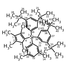 CC1=C(C)C(C)C([Si](c2cc(C)cc(C)c2)(c2cc([Si](C)(C)C)cc([Si](C)(C)C)c2)c2cc([Si](C)(C)C)cc([Si](C)(C)C)c2)=C1C